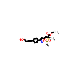 CCOC(=O)C(C)(CC1CC(c2ccc(C#CCCO)cc2)=NO1)S(C)(=O)=O